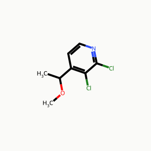 COC(C)c1ccnc(Cl)c1Cl